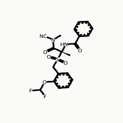 CN(C#N)C(=O)[C@](C)(NC(=O)c1ccccc1)S(=O)(=O)Cc1ccccc1OC(F)F